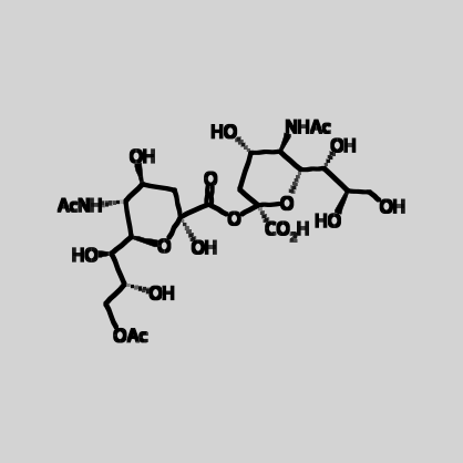 CC(=O)N[C@H]1[C@H]([C@H](O)[C@H](O)CO)O[C@](OC(=O)[C@]2(O)C[C@H](O)[C@@H](NC(C)=O)[C@H]([C@H](O)[C@H](O)COC(C)=O)O2)(C(=O)O)C[C@@H]1O